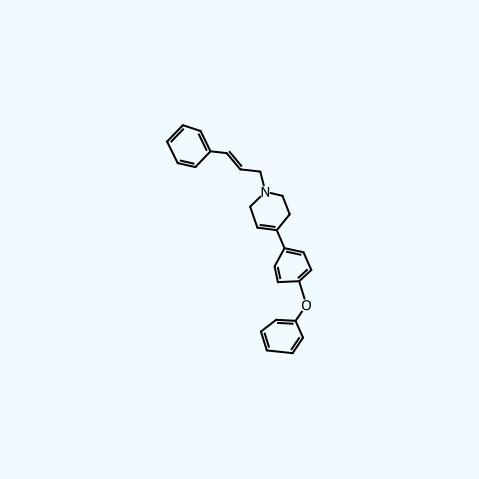 C(=Cc1ccccc1)CN1CC=C(c2ccc(Oc3ccccc3)cc2)CC1